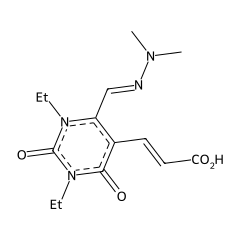 CCn1c(C=NN(C)C)c(C=CC(=O)O)c(=O)n(CC)c1=O